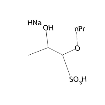 CCCOC(C(C)O)S(=O)(=O)O.[NaH]